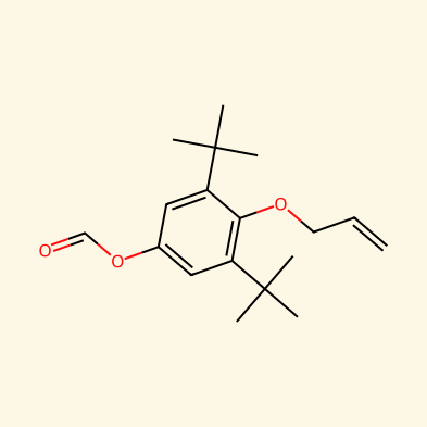 C=CCOc1c(C(C)(C)C)cc(OC=O)cc1C(C)(C)C